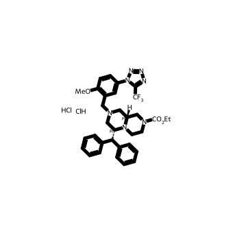 CCOC(=O)N1CCN2[C@H](CN(Cc3cc(-n4nnnc4C(F)(F)F)ccc3OC)C[C@H]2C(c2ccccc2)c2ccccc2)C1.Cl.Cl